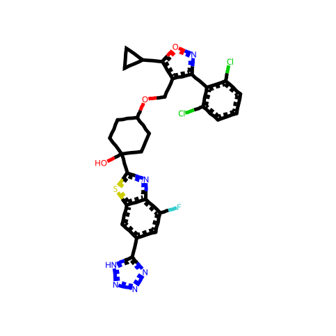 OC1(c2nc3c(F)cc(-c4nnn[nH]4)cc3s2)CCC(OCc2c(-c3c(Cl)cccc3Cl)noc2C2CC2)CC1